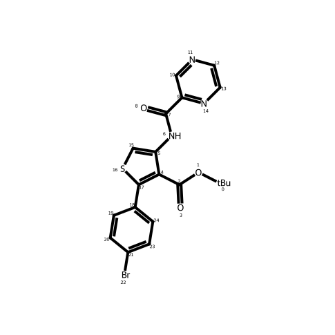 CC(C)(C)OC(=O)c1c(NC(=O)c2cnccn2)csc1-c1ccc(Br)cc1